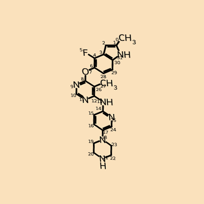 Cc1cc2c(F)c(Oc3ncnc(Nc4ccc(N5CCNCC5)cn4)c3C)ccc2[nH]1